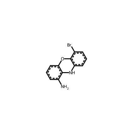 Nc1cccc2c1Nc1cccc(Br)c1O2